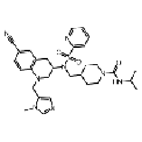 CC(C)NC(=O)N1CCC(CN(C2Cc3cc(C#N)ccc3N(Cc3cncn3C)C2)S(=O)(=O)c2ccccn2)CC1